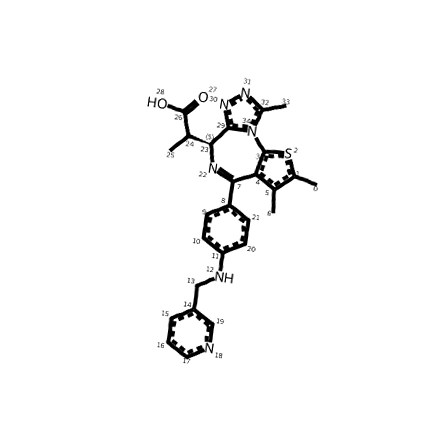 Cc1sc2c(c1C)C(c1ccc(NCc3cccnc3)cc1)=N[C@@H](C(C)C(=O)O)c1nnc(C)n1-2